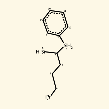 CC(C)CCCC([SiH3])[SiH2]c1ccccc1